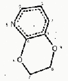 [c]1ccc2c(n1)OCCO2